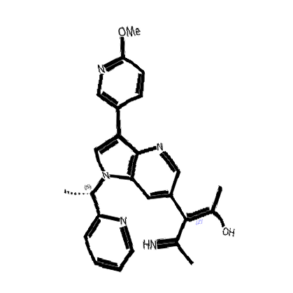 COc1ccc(-c2cn([C@@H](C)c3ccccn3)c3cc(/C(C(C)=N)=C(\C)O)cnc23)cn1